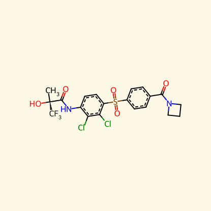 C[C@@](O)(C(=O)Nc1ccc(S(=O)(=O)c2ccc(C(=O)N3CCC3)cc2)c(Cl)c1Cl)C(F)(F)F